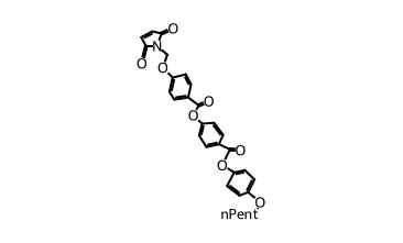 CCCCCOc1ccc(OC(=O)c2ccc(OC(=O)c3ccc(OCN4C(=O)C=CC4=O)cc3)cc2)cc1